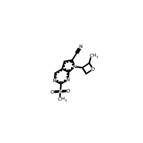 CC1OCC1n1c(C#N)cc2cnc(S(C)(=O)=O)nc21